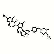 CC1CN(Cc2ccc(-c3cc4c(-c5cc(F)cc(N6CCOc7cc(C8CC8)cc(F)c7C6=O)c5CO)ccnc4[nH]3)nc2)CC(C)N1CC(F)(F)F